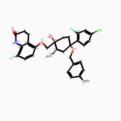 COc1ccc(CO[C@]2(c3ccc(Cl)cc3F)CC[C@@](O)(COc3ccc(F)c4c3CCC(=O)N4)[C@H](OC(C)=O)C2)cc1